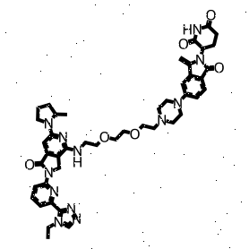 C=C1c2cc(N3CCN(CCOCCOCCNc4nc(N5CCCC5C)cc5c4CN(c4cccc(-c6nncn6CC)n4)C5=O)CC3)ccc2C(=O)N1C1CCC(=O)NC1=O